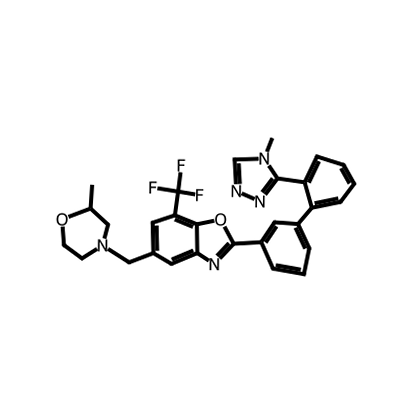 CC1CN(Cc2cc(C(F)(F)F)c3oc(-c4cccc(-c5ccccc5-c5nncn5C)c4)nc3c2)CCO1